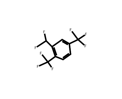 FC(F)c1cc(C(F)(F)F)ccc1C(F)(F)F